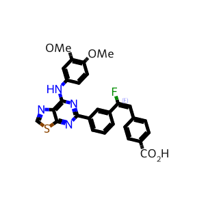 COc1ccc(Nc2nc(-c3cccc(/C(F)=C\c4ccc(C(=O)O)cc4)c3)nc3scnc23)cc1OC